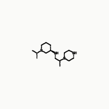 CC(C)N1CCC[C@@H](NCC(C)N2CCNCC2)C1